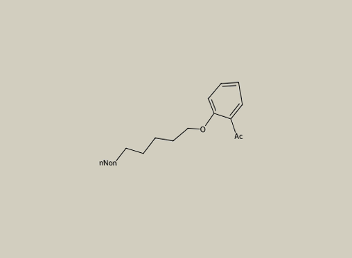 CCCCCCCCCCCCCCOc1ccccc1C(C)=O